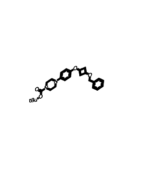 CC(C)(C)OC(=O)N1CCN(c2ccc(OC3CC(OCc4ccccc4)C3)cc2)CC1